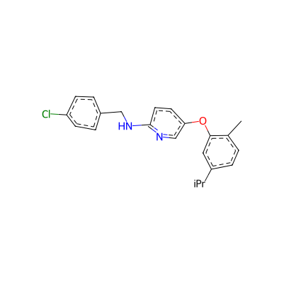 Cc1ccc(C(C)C)cc1Oc1ccc(NCc2ccc(Cl)cc2)nc1